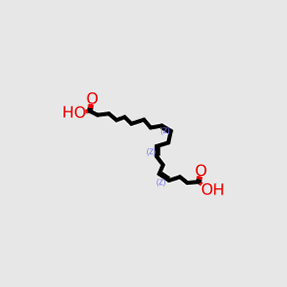 O=C(O)CC/C=C\C/C=C\C/C=C\CCCCCCCC(=O)O